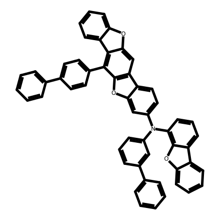 c1ccc(-c2ccc(-c3c4oc5cc(N(c6cccc(-c7ccccc7)c6)c6cccc7c6oc6ccccc67)ccc5c4cc4oc5ccccc5c34)cc2)cc1